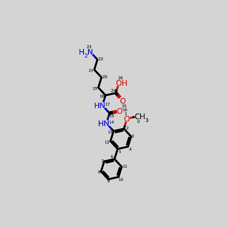 COc1ccc(-c2ccccc2)cc1NC(=O)NC(CCCCN)C(=O)O